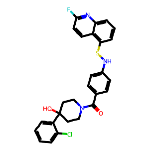 O=C(c1ccc(NSc2cccc3nc(F)ccc23)cc1)N1CCC(O)(c2ccccc2Cl)CC1